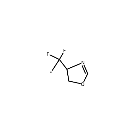 FC(F)(F)C1COC=N1